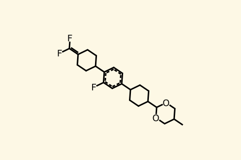 CC1COC(C2CCC(c3ccc(C4CCC(=C(F)F)CC4)c(F)c3)CC2)OC1